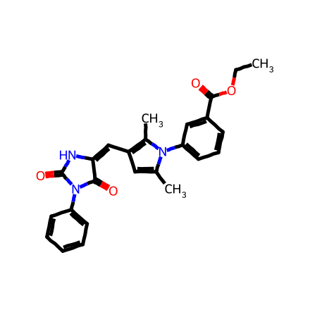 CCOC(=O)c1cccc(-n2c(C)cc(C=C3NC(=O)N(c4ccccc4)C3=O)c2C)c1